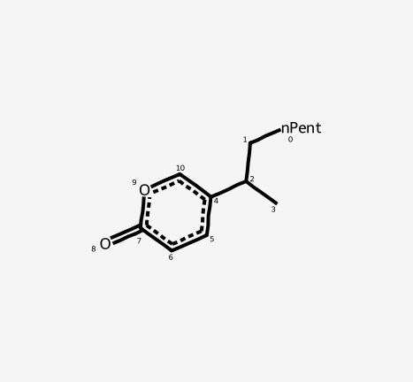 CCCCCCC(C)c1ccc(=O)oc1